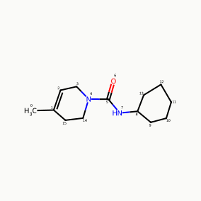 CC1=CCN(C(=O)NC2CCCCC2)CC1